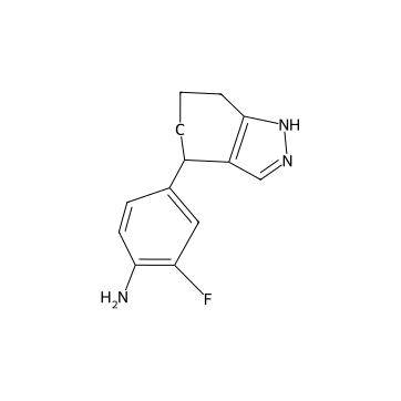 Nc1ccc(C2CCCc3[nH]ncc32)cc1F